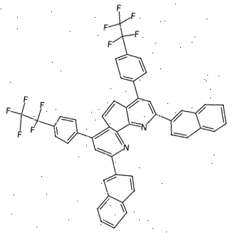 FC(F)(F)C(F)(F)c1ccc(-c2cc(-c3ccc4ccccc4c3)nc3c2ccc2c(-c4ccc(C(F)(F)C(F)(F)F)cc4)cc(-c4ccc5ccccc5c4)nc23)cc1